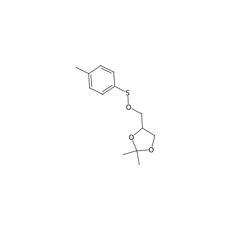 Cc1ccc(SOCC2COC(C)(C)O2)cc1